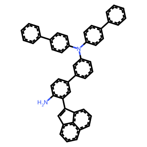 Nc1ccc(-c2cccc(N(c3ccc(-c4ccccc4)cc3)c3ccc(-c4ccccc4)cc3)c2)cc1C1=Cc2cccc3cccc1c23